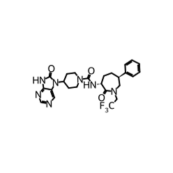 O=C(N[C@@H]1CC[C@@H](c2ccccc2)CN(CC(F)(F)F)C1=O)N1CCC(n2c(=O)[nH]c3ncncc32)CC1